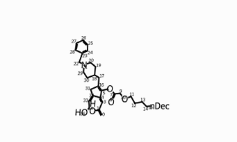 C=C(O)/C=C1/C(OC(=O)COCCCCCCCCCCCCCC)=C(CC2CCN(Cc3ccccc3)CC2)C/C1=C/CO